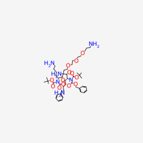 CC(C)(C)OC(=O)N(C(=O)OCc1ccccc1)[C@@H](CCCCN)C(=O)C(N)(CCOCCOCCOCCCN)C(=O)[C@H](CCCCN)N(C(=O)OCc1ccccc1)C(=O)OC(C)(C)C